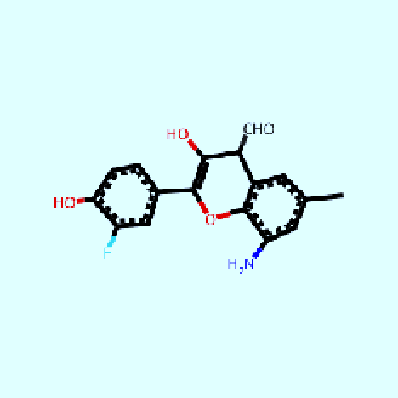 Cc1cc(N)c2c(c1)C(C=O)C(O)=C(c1ccc(O)c(F)c1)O2